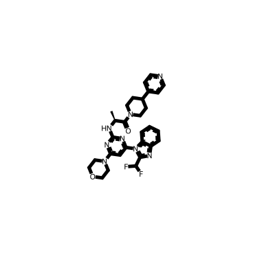 C[C@H](Nc1nc(N2CCOCC2)cc(-n2c(C(F)F)nc3ccccc32)n1)C(=O)N1CCC(c2ccncc2)CC1